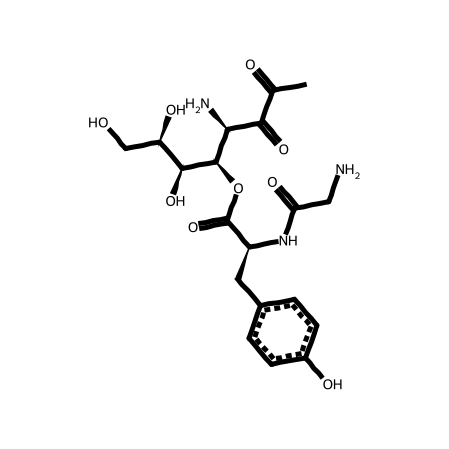 CC(=O)C(=O)[C@H](N)[C@@H](OC(=O)[C@H](Cc1ccc(O)cc1)NC(=O)CN)[C@@H](O)[C@H](O)CO